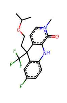 CC(C)OCCC1(C(F)(F)F)c2cc(F)ccc2Nc2c1ccn(C)c2=O